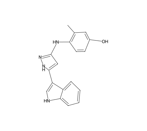 Cc1cc(O)ccc1Nc1cc(-c2c[nH]c3ccccc23)[nH]n1